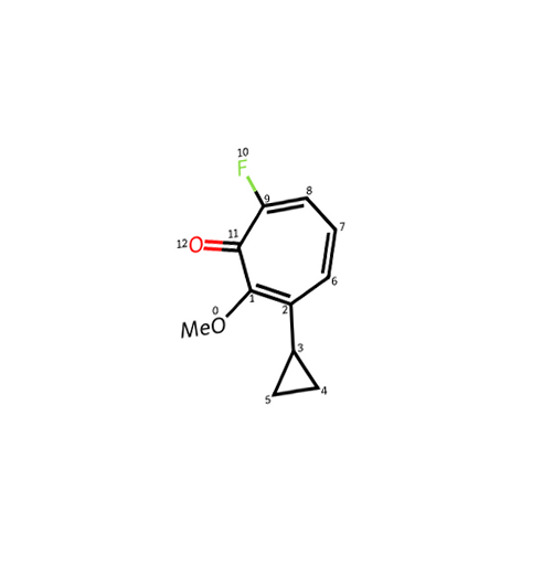 COc1c(C2CC2)cccc(F)c1=O